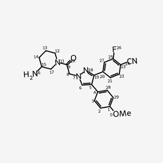 COc1ccc(-c2cn(CC(=O)N3CCCC(N)C3)nc2-c2ccc(C#N)c(F)c2)cc1